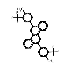 Cc1ccc(-c2cc3c4ccccc4c(-c4ccc(C)c(C(F)(F)F)c4)cc3c3ccccc23)cc1C(F)(F)F